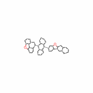 c1ccc2cc3c(cc2c1)oc1cc(-c2c4ccccc4c(-c4cc5cccc6oc7cccc4c7c56)c4ccccc24)ccc13